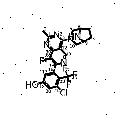 Cc1nc(N2CC3CCC(C2)N3)c2cnc(-c3cc(O)cc(Cl)c3C(F)(F)F)c(F)c2n1